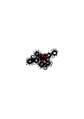 c1ccc(-c2ccc(-c3nc(-c4ccccc4-c4cccc5c4sc4ccccc45)nc(-c4cccc5sc6cccc(-c7ccccc7)c6c45)n3)cc2)cc1